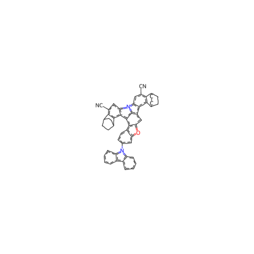 N#Cc1cc2c(c3c1C1CCC3CC1)c1cc3oc4cc(-n5c6ccccc6c6ccccc65)ccc4c3c3c4c5c(c(C#N)cc4n2c13)C1CCC5CC1